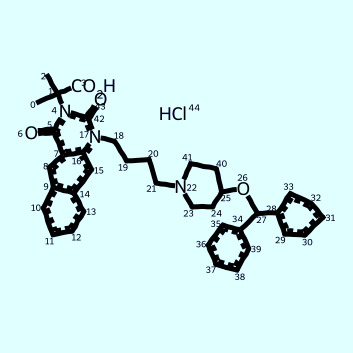 CC(C)(C(=O)O)n1c(=O)c2cc3ccccc3cc2n(CCCCN2CCC(OC(c3ccccc3)c3ccccc3)CC2)c1=O.Cl